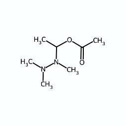 CC(=O)OC(C)N(C)N(C)C